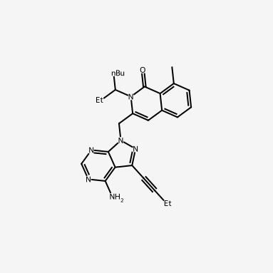 CCC#Cc1nn(Cc2cc3cccc(C)c3c(=O)n2C(CC)CCCC)c2ncnc(N)c12